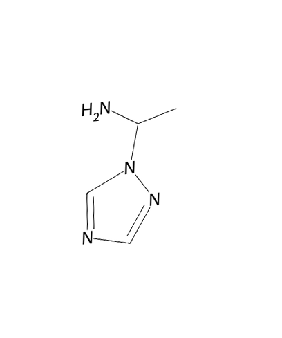 CC(N)n1cncn1